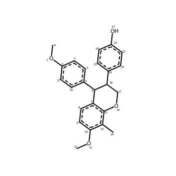 COc1ccc(C2c3ccc(OC)c(C)c3OCC2c2ccc(O)cc2)cc1